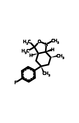 C[C@@H]1C[C@@](C)(c2ccc(F)cc2)C[C@@H]2[C@@H]1N(C)OC2(C)C